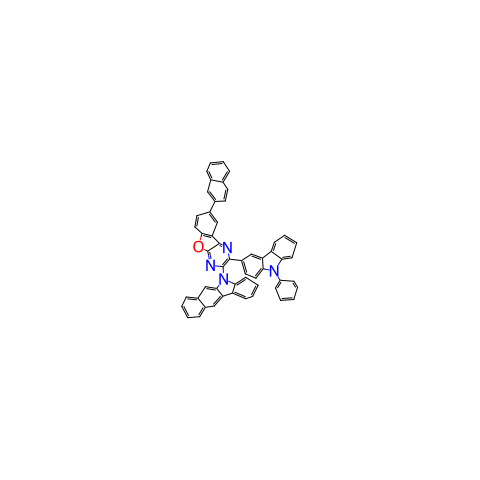 c1ccc(-n2c3ccccc3c3cc(-c4nc5c(nc4-n4c6ccccc6c6cc7ccccc7cc64)oc4ccc(-c6ccc7ccccc7c6)cc45)ccc32)cc1